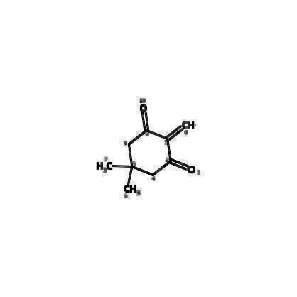 [CH]=C1C(=O)CC(C)(C)CC1=O